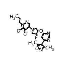 CCCn1ncc(N2C[C@H](Oc3cc(-c4c(C)noc4C)ncn3)[C@@H](F)C2)c(Cl)c1=O